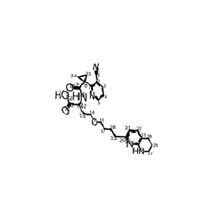 N#Cc1cccnc1C1(C(=O)N[C@@H](CCOCCCCc2ccc3c(n2)NCCC3)C(=O)O)CC1